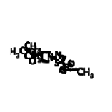 CCCS(=O)(=O)c1cnc(N2CCN(C(=O)OC(C)(C)C)CC2)s1